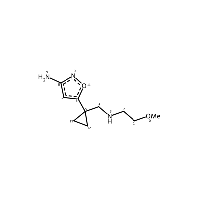 COCCNCC1(c2cc(N)no2)CC1